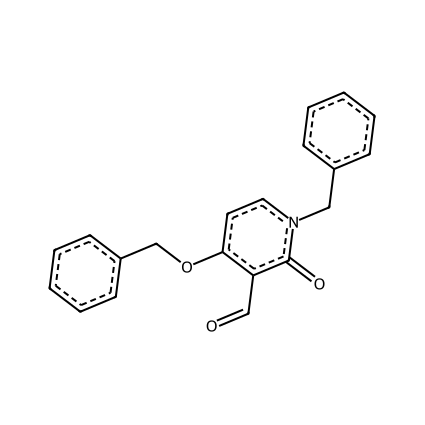 O=Cc1c(OCc2ccccc2)ccn(Cc2ccccc2)c1=O